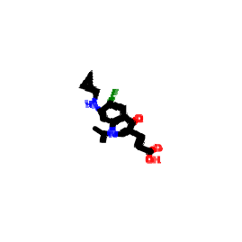 CC(C)n1cc(C=CC(=O)O)c(=O)c2cc(F)c(NCC3CC3)cc21